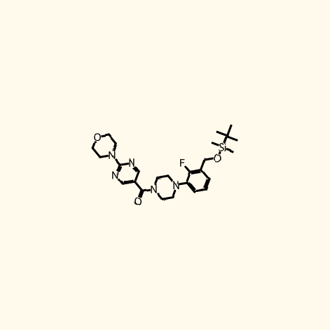 CC(C)(C)[Si](C)(C)OCc1cccc(N2CCN(C(=O)c3cnc(N4CCOCC4)nc3)CC2)c1F